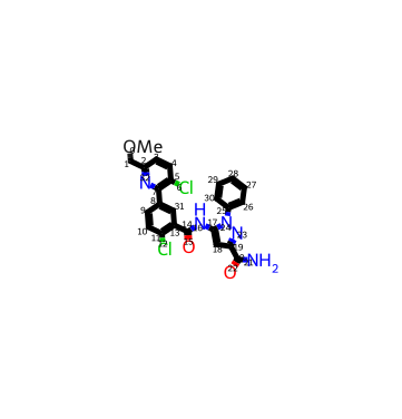 COCc1ccc(Cl)c(-c2ccc(Cl)c(C(=O)Nc3cc(C(N)=O)nn3-c3ccccc3)c2)n1